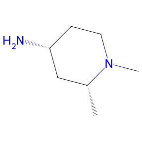 C[C@@H]1C[C@H](N)CCN1C